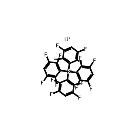 Fc1cc(F)c(F)c([B-](c2c(F)c(F)cc(F)c2F)(c2c(F)c(F)cc(F)c2F)c2c(F)c(F)cc(F)c2F)c1F.[Li+]